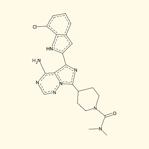 CN(C)C(=O)N1CCC(c2nc(-c3cc4cccc(Cl)c4[nH]3)c3c(N)ncnn23)CC1